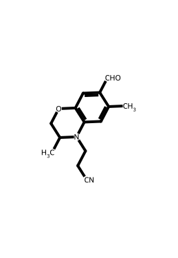 Cc1cc2c(cc1C=O)OCC(C)N2CCC#N